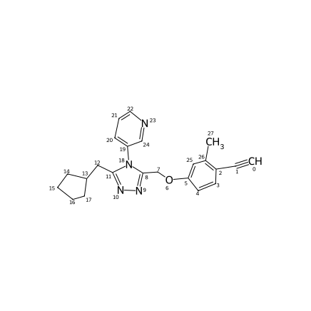 C#Cc1ccc(OCc2nnc(CC3CCCC3)n2-c2cccnc2)cc1C